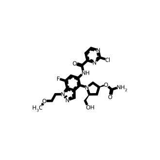 COCCn1ncc2c(N3C[C@@H](OC(N)=O)C[C@H]3CO)c(NC(=O)c3ccnc(Cl)n3)cc(F)c21